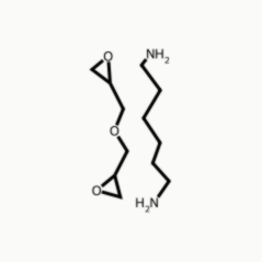 C(OCC1CO1)C1CO1.NCCCCCCN